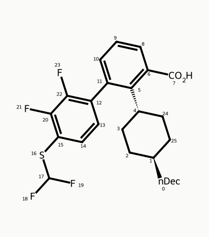 CCCCCCCCCC[C@H]1CC[C@H](c2c(C(=O)O)cccc2-c2ccc(SC(F)F)c(F)c2F)CC1